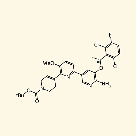 COc1ccc(-c2cnc(N)c(O[C@H](C)c3c(Cl)ccc(F)c3Cl)c2)nc1C1=CCN(C(=O)OC(C)(C)C)CC1